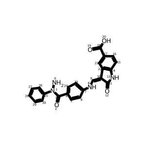 NN(C(=O)c1ccc(NC=C2C(=O)Nc3ccc(C(=O)O)cc32)cc1)c1ccccc1